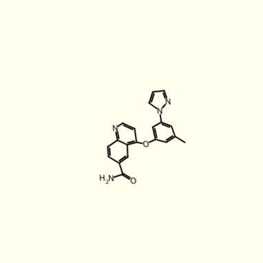 Cc1cc(Oc2ccnc3ccc(C(N)=O)cc23)cc(-n2cccn2)c1